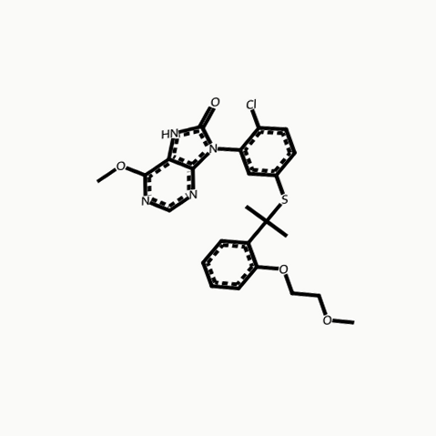 COCCOc1ccccc1C(C)(C)Sc1ccc(Cl)c(-n2c(=O)[nH]c3c(OC)ncnc32)c1